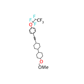 COCOC1CCC(C2CCC(C#Cc3ccc(OC(F)(F)C(F)C(F)(F)F)cc3)CC2)CC1